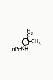 CCCNC1CCC(C)=C(C)C1